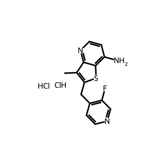 Cc1c(Cc2ccncc2F)sc2c(N)ccnc12.Cl.Cl